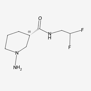 NN1CCC[C@H](C(=O)NCC(F)F)C1